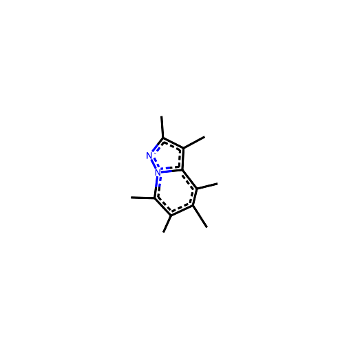 Cc1nn2c(C)c(C)c(C)c(C)c2c1C